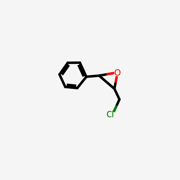 ClCC1OC1c1ccccc1